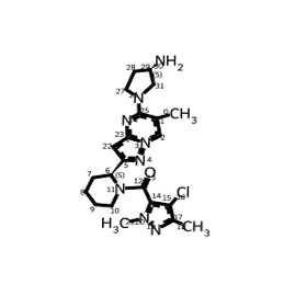 Cc1cn2nc([C@@H]3CCCCN3C(=O)c3c(Cl)c(C)nn3C)cc2nc1N1CC[C@H](N)C1